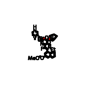 CCc1cccc2cc(OCOC)cc(-c3ncc4c(N5CC6CCC(C5)N6C(=O)OC(C)(C)C)nc(OC[C@H]5CNCCN5C)nc4c3F)c12